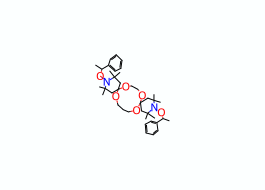 CC(ON1C(C)(C)CC2(CC1(C)C)OCCCOC1(CC(C)(C)N(OC(C)c3ccccc3)C(C)(C)C1)OCCO2)c1ccccc1